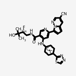 CC(C)(O)[C@H](F)CNC(=O)c1cnc(-c2ccc3cc(C#N)cnn23)cc1NC12CCC(c3nncs3)(CC1)CC2